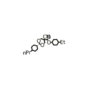 CCCC1CCC([C@H]2OC[C@@](C#N)(C(=O)OC3CCC(CC)CC3)CO2)CC1